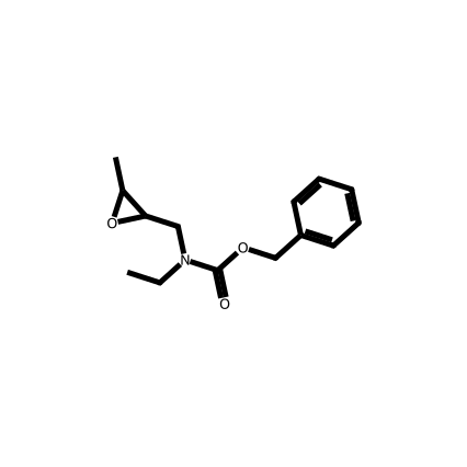 CCN(CC1OC1C)C(=O)OCc1ccccc1